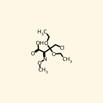 CCOC(CCl)(OCC)/C(=N/OC)C(=O)O